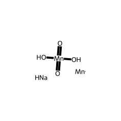 [Mn].[NaH].[O]=[Mn](=[O])([OH])[OH]